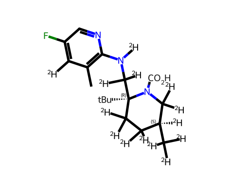 [2H]c1c(F)cnc(N([2H])C([2H])([2H])[C@@]2(C(C)(C)C)N(C(=O)O)C([2H])([2H])[C@@]([2H])(C([2H])([2H])[2H])C([2H])([2H])C2([2H])[2H])c1C